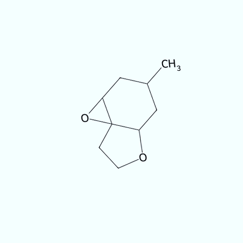 CC1CC2OCCC23OC3C1